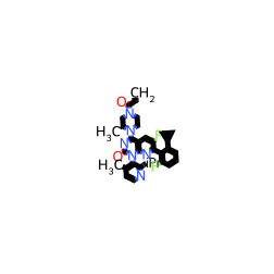 C=CC(=O)N1CCN(c2nc(=O)n(-c3c(C)ccnc3C(C)C)c3nc(-c4c(F)cccc4C4CC4)c(F)cc23)[C@@H](C)C1